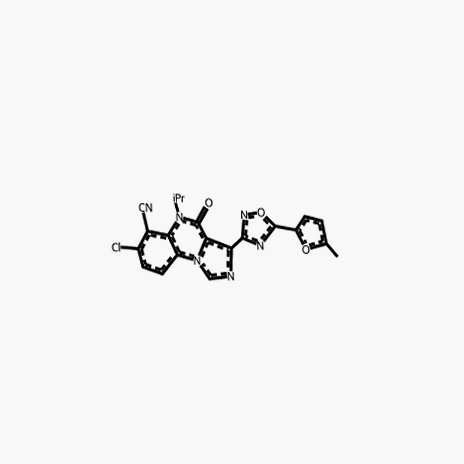 Cc1ccc(-c2nc(-c3ncn4c3c(=O)n(C(C)C)c3c(C#N)c(Cl)ccc34)no2)o1